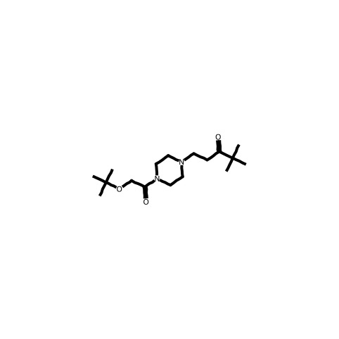 CC(C)(C)OCC(=O)N1CCN(CCC(=O)C(C)(C)C)CC1